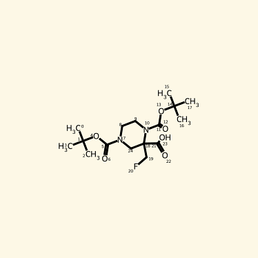 CC(C)(C)OC(=O)N1CCN(C(=O)OC(C)(C)C)C(CF)(C(=O)O)C1